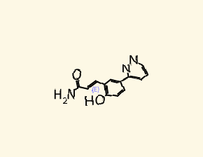 NC(=O)/C=C/c1cc(-c2cccnn2)ccc1O